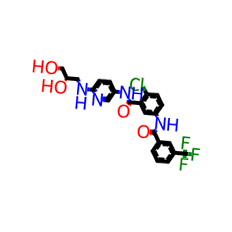 O=C(Nc1ccc(Cl)c(C(=O)Nc2ccc(NC[C@@H](O)CO)nc2)c1)c1cccc(C(F)(F)F)c1